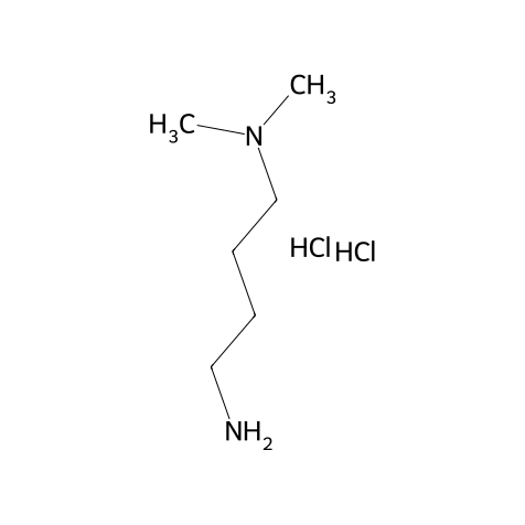 CN(C)CCCCN.Cl.Cl